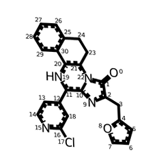 O=c1c(Cc2ccco2)nc2c(-c3ccnc(Cl)c3)[nH]c3c(n1-2)CCc1ccccc1-3